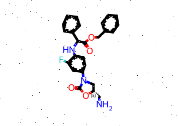 NC[C@H]1CN(c2ccc(NC(C(=O)OCc3ccccc3)c3ccccc3)c(F)c2)C(=O)O1